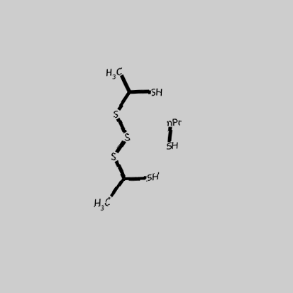 CC(S)SSSC(C)S.CCCS